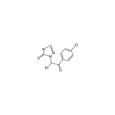 CCC(C(=O)c1ccc(Cl)cc1)N1N=C[N]C1=O